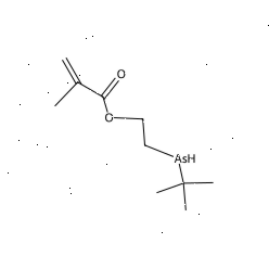 C=C(C)C(=O)OCC[AsH]C(C)(C)C